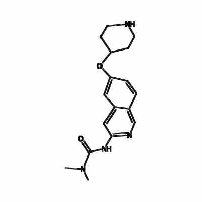 CN(C)C(=O)Nc1cc2cc(OC3CCNCC3)ccc2cn1